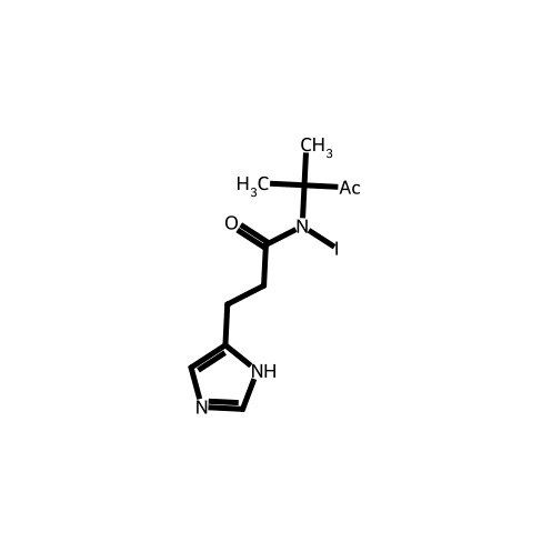 CC(=O)C(C)(C)N(I)C(=O)CCc1cnc[nH]1